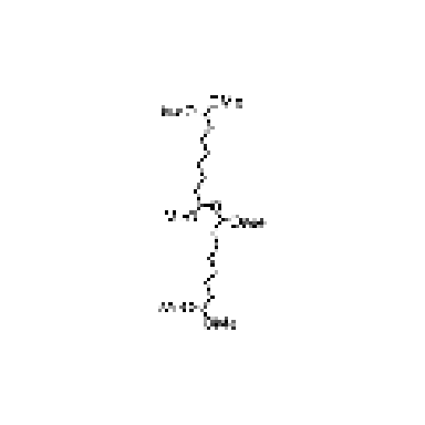 COC(CCCCCCC(OC)OC(CCCCCCC(OC)OC)OC)OC